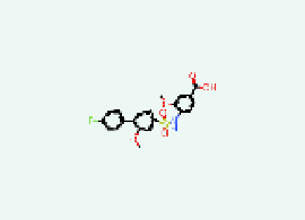 COc1cc(C(=O)O)ccc1NS(=O)(=O)c1ccc(-c2ccc(F)cc2)c(OC)c1